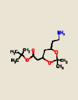 CC(C)(C)OC(=O)C[C@H]1CC(CCN)OC(C)(C)O1